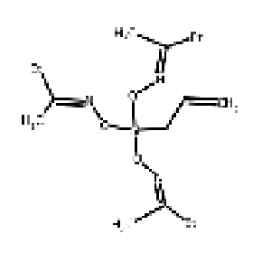 C=CC[Si](ON=C(C)CC)(ON=C(C)CC)ON=C(C)CC